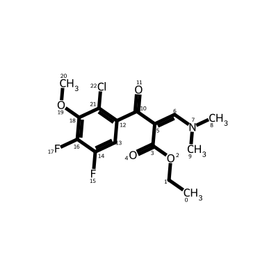 CCOC(=O)C(=CN(C)C)C(=O)c1cc(F)c(F)c(OC)c1Cl